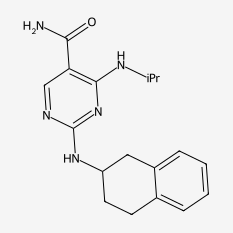 CC(C)Nc1nc(NC2CCc3ccccc3C2)ncc1C(N)=O